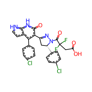 O=C(O)CC(F)(F)C(=O)N1N=C(c2c(-c3ccc(Cl)cc3)c3cc[nH]c3[nH]c2=O)C[C@H]1c1ccc(Cl)cc1